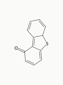 O=C1C=CC=C2SC3C=CC=CC3=C12